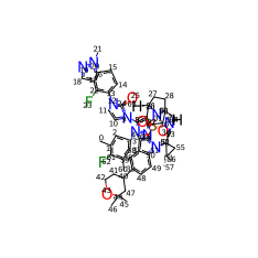 Cc1cc(-n2nc3c(c2-n2ccn(-c4ccc5c(cnn5C)c4F)c2=O)[C@@H]2CC[C@H](C3)N2S(=O)(=O)c2cc3cc(C4CCOC(C)(C)C4)ccc3n2[C@]2(C#N)C[C@@H]2C)cc(C)c1F